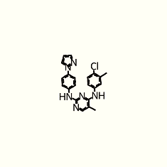 Cc1cc(Nc2nc(Nc3ccc(-n4cccn4)cc3)ncc2C)ccc1Cl